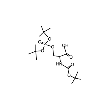 CC(C)(C)OC(=O)NC(COP(=O)(OC(C)(C)C)OC(C)(C)C)C(=O)O